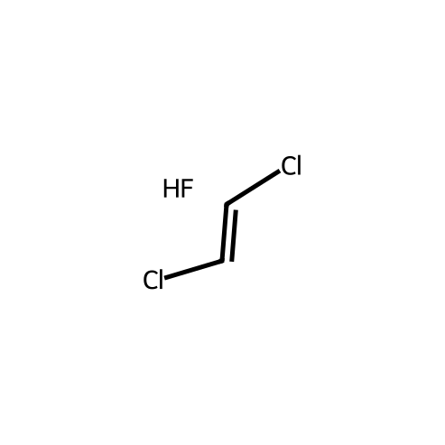 ClC=CCl.F